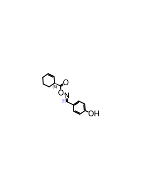 O=C(O/N=C/c1ccc(O)cc1)[C@@H]1C=CCCC1